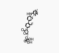 Cn1cc(Nc2ccc(-c3ccc(N4C[C@H](COP(=O)(O)O)OC4=O)cc3F)cn2)nn1